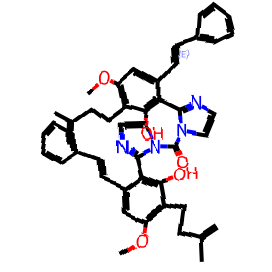 C=C(C)CCc1c(OC)cc(C=Cc2ccccc2)c(-c2nccn2C(=O)n2ccnc2-c2c(/C=C/c3ccccc3)cc(OC)c(CCC(=C)C)c2O)c1O